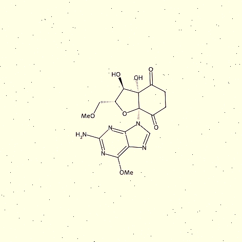 COC[C@H]1O[C@]2(n3cnc4c(OC)nc(N)nc43)C(=O)CCC(=O)[C@]2(O)[C@@H]1O